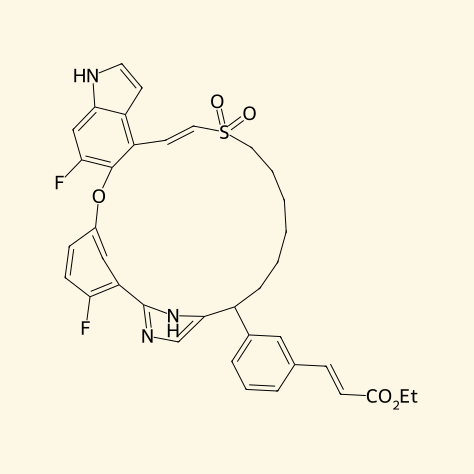 CCOC(=O)/C=C/c1cccc(C2CCCCCCS(=O)(=O)/C=C/c3c(c(F)cc4[nH]ccc34)Oc3ccc(F)c(c3)-c3ncc2[nH]3)c1